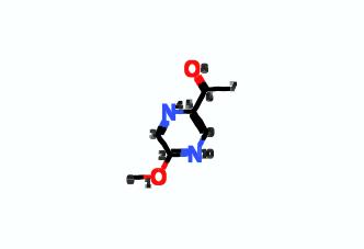 COc1cnc(C(C)=O)cn1